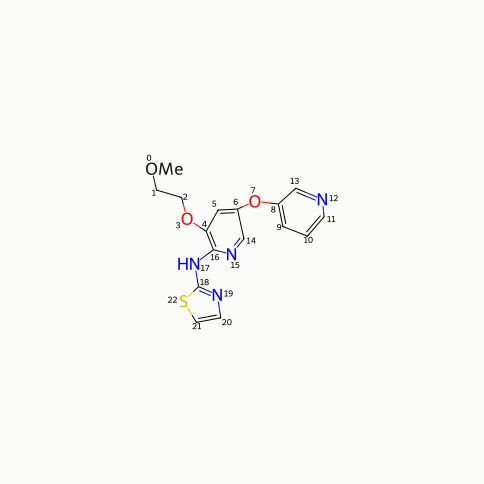 COCCOc1cc(Oc2cccnc2)cnc1Nc1nccs1